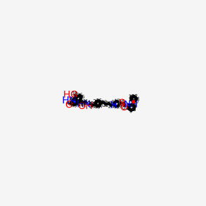 O=C(Nc1ccccc1-c1ccccc1)OC1CCN(CCCCc2ccc(CCNC[C@H](O)c3ccc(O)c4[nH]c(=O)ccc34)cc2)CC1